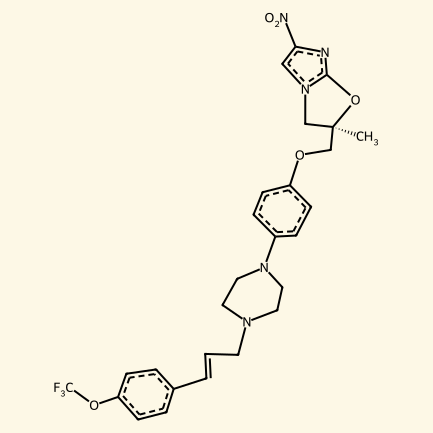 C[C@]1(COc2ccc(N3CCN(C/C=C/c4ccc(OC(F)(F)F)cc4)CC3)cc2)Cn2cc([N+](=O)[O-])nc2O1